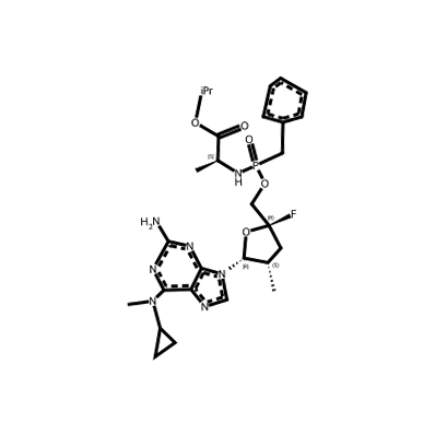 CC(C)OC(=O)[C@H](C)NP(=O)(Cc1ccccc1)OC[C@]1(F)C[C@H](C)[C@H](n2cnc3c(N(C)C4CC4)nc(N)nc32)O1